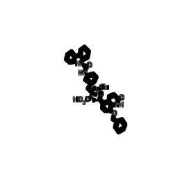 CC(C)(C)[Si](C)(C)O[C@@H](CN(CCc1cccc(NC(=O)Nc2ccccc2-c2ccccc2)c1)C(=O)O)c1ccc(OCc2ccccc2)c2[nH]c(=O)ccc12